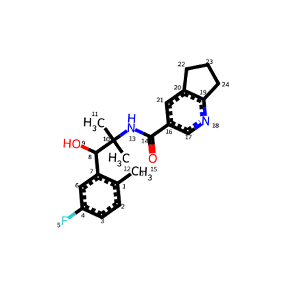 Cc1ccc(F)cc1C(O)C(C)(C)NC(=O)c1cnc2c(c1)CCC2